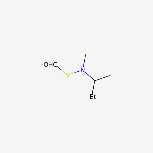 CCC(C)N(C)S[C]=O